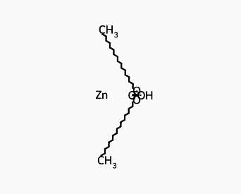 CCCCCCCCCCCCCCCCCCOP(=O)(O)OCCCCCCCCCCCCCCCCCC.[Zn]